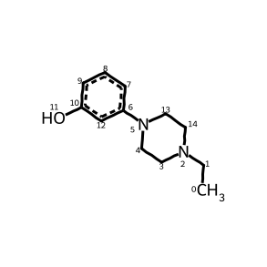 CCN1CCN(c2cccc(O)c2)CC1